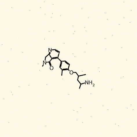 Cc1cc(-c2ccnc3c2C(=O)N(C)C3)ccc1OCC(C)CC(C)N